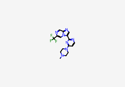 CN1CCN(c2ccnc(-c3cnc4cnc(C(F)(F)F)cn34)n2)CC1